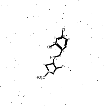 O=C(O)N1CC(F)C(NCc2ccc(Cl)cc2Cl)C1